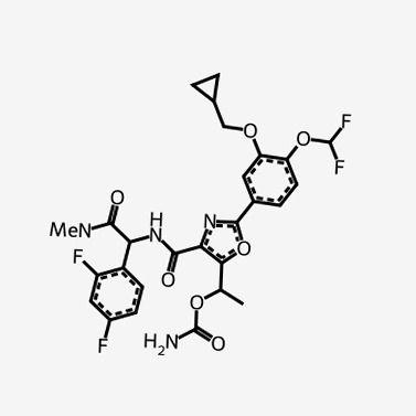 CNC(=O)C(NC(=O)c1nc(-c2ccc(OC(F)F)c(OCC3CC3)c2)oc1C(C)OC(N)=O)c1ccc(F)cc1F